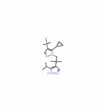 CC(C)c1[nH]ncc1C(C)(C)Cn1ncc(C(C)(C)C)c1C1CC1